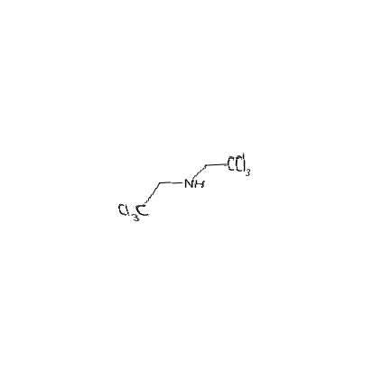 ClC(Cl)(Cl)CNCC(Cl)(Cl)Cl